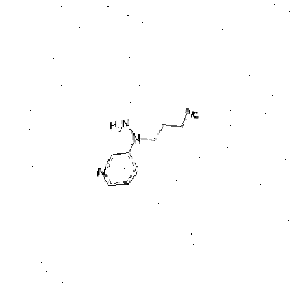 CC(=O)CCCN(N)c1cccnc1